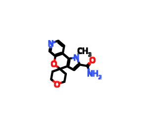 Cn1c(C(N)=O)cc2c1-c1ccncc1OC21CCOCC1